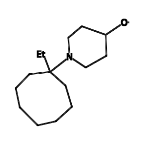 CCC1(N2CCC([O])CC2)CCCCCCC1